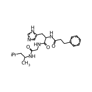 CC(C)CC(C)NC(=O)CNC(=O)C(Cc1cnc[nH]1)NC(=O)CCc1ccccc1